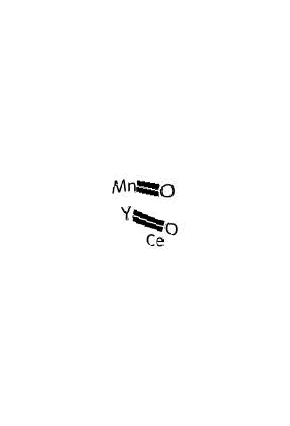 [Ce].[O]=[Mn].[O]=[Y]